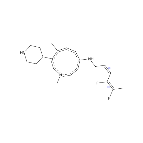 C/C(F)=C(F)\C=C/CNc1ccc(C)c(C2CCNCC2)cn(C)cc1